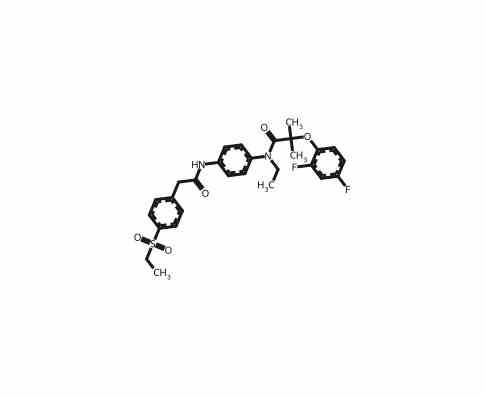 CCN(C(=O)C(C)(C)Oc1ccc(F)cc1F)c1ccc(NC(=O)Cc2ccc(S(=O)(=O)CC)cc2)cc1